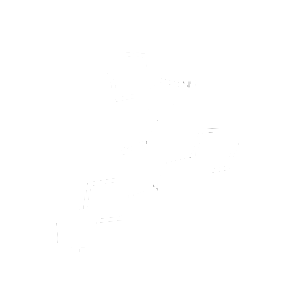 CN(c1ccc2c(c1)OCO2)C(C(=O)c1c[nH]c2ccccc12)c1ccccc1